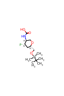 CC(C)(C)[Si](C)(C)OC[C@@H]1C[C@H](F)[C@@H](NC(=O)O)CO1